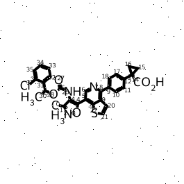 Cc1noc(-c2cnc(-c3ccc(C4(C(=O)O)CC4)cc3)c3ccsc23)c1NC(=O)OC(C)c1ccccc1Cl